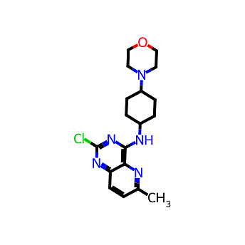 Cc1ccc2nc(Cl)nc(NC3CCC(N4CCOCC4)CC3)c2n1